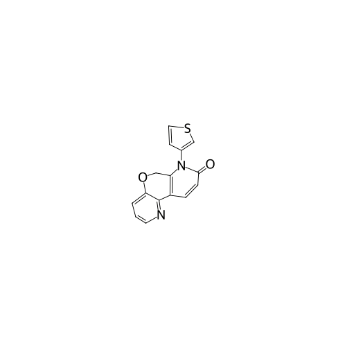 O=c1ccc2c(n1-c1ccsc1)COc1cccnc1-2